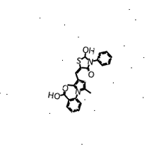 Cc1cc(/C=C2/SC(O)N(c3ccccc3)C2=O)c(C)n1-c1ccccc1C(=O)O